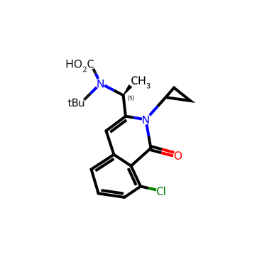 C[C@@H](c1cc2cccc(Cl)c2c(=O)n1C1CC1)N(C(=O)O)C(C)(C)C